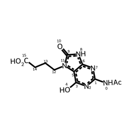 CC(=O)Nc1nc(O)c2c(n1)[nH]c(=O)n2CCCC(=O)O